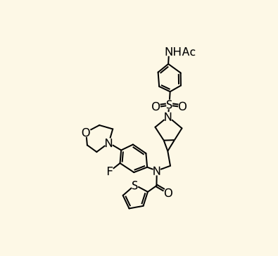 CC(=O)Nc1ccc(S(=O)(=O)N2CC3C(CN(C(=O)c4cccs4)c4ccc(N5CCOCC5)c(F)c4)C3C2)cc1